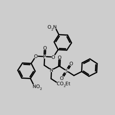 CCOC(=O)CN(CP(=O)(Oc1cccc([N+](=O)[O-])c1)Oc1cccc([N+](=O)[O-])c1)C(=O)S(=O)(=O)Cc1ccccc1